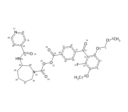 COCOc1ccc(OC)c(F)c1C(=O)c1ccc(C(=O)OOC(=O)N2CCCCC(NC(=O)c3ccncc3)C2)cc1